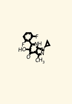 Cc1nn(C2CC2)c2[nH]c(-c3c(F)cccc3F)c(O)c(=O)c12